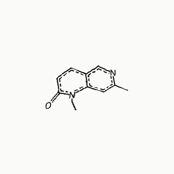 Cc1cc2c(ccc(=O)n2C)cn1